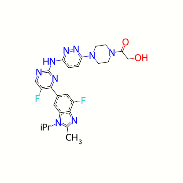 Cc1nc2c(F)cc(-c3nc(Nc4ccc(N5CCN(C(=O)CO)CC5)nn4)ncc3F)cc2n1C(C)C